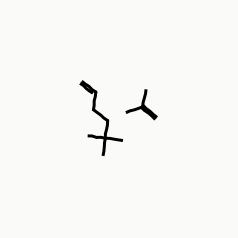 C=C(C)C.C=CCCC(C)(C)C